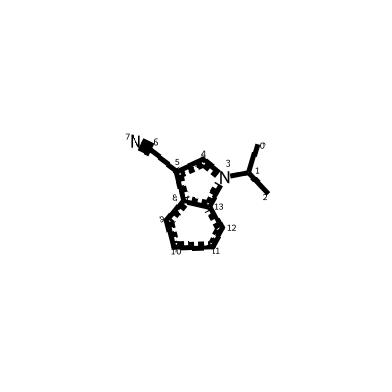 CC(C)n1cc(C#N)c2ccccc21